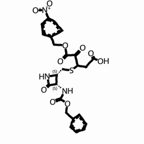 O=C(O)CC(SC[C@H]1NC(=O)[C@H]1NC(=O)OCc1ccccc1)C(=O)C(=O)OCc1ccc([N+](=O)[O-])cc1